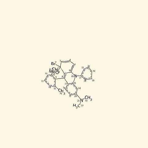 COC1(Br)C=CC=C2C1=C(c1c(C)cccc1C)c1ccc(N(C)C)cc1N2c1ccccc1